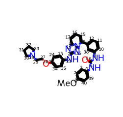 COc1ccc(NC(=O)Nc2cccc(-c3cccc4nc(Nc5ccc(OCCN6CCCC6)cc5)nn34)c2)cc1